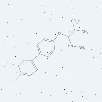 NN/C(Oc1ccc(-c2ccc(F)cc2)cc1)=C(\N)C(=O)O